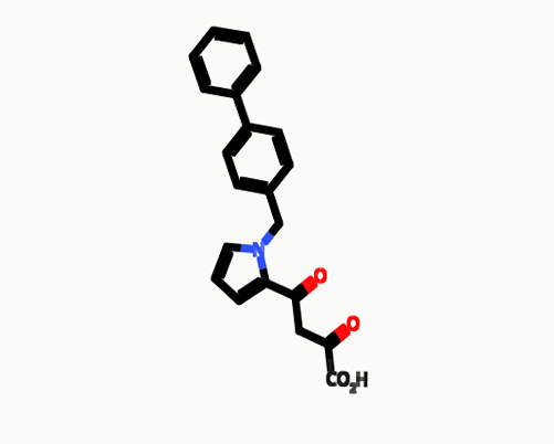 O=C(O)C(=O)CC(=O)c1cccn1Cc1ccc(-c2ccccc2)cc1